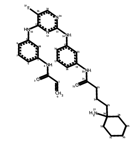 C=CC(=O)Nc1cccc(Nc2nc(Nc3cccc(NC(=O)CCCC4(N)CCCCC4)c3)ncc2F)c1